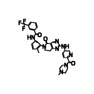 Cc1ccc(NC(=O)c2cccc(C(F)(F)F)c2)cc1N1CCc2nc(Nc3ccc(C(=O)N4CCN(C)CC4)nc3)ncc2C1=O